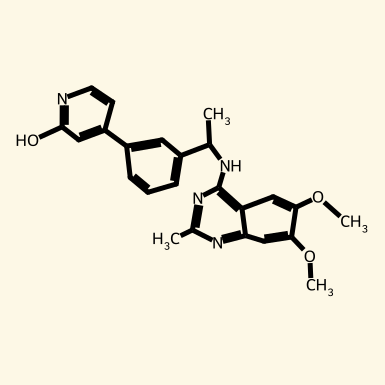 COc1cc2nc(C)nc(NC(C)c3cccc(-c4ccnc(O)c4)c3)c2cc1OC